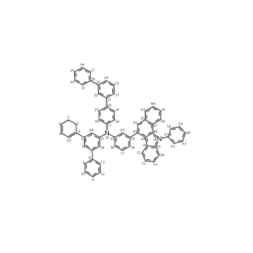 C1=CCCC(c2cc(-c3ccccc3)cc(N(c3ccc(-c4cccc(-c5ccccc5)c4)cc3)c3cccc(-c4cc5ccccc5c5c4c4ccccc4n5-c4ccccc4)c3)c2)=C1